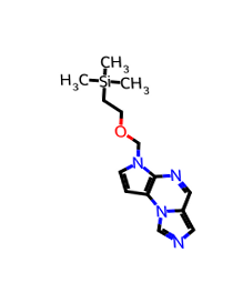 C[Si](C)(C)CCOCn1ccc2c1ncc1cncn12